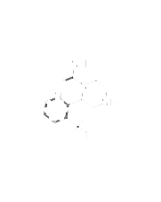 NC(=O)N1CCNCC1c1ncccc1C(F)(F)F